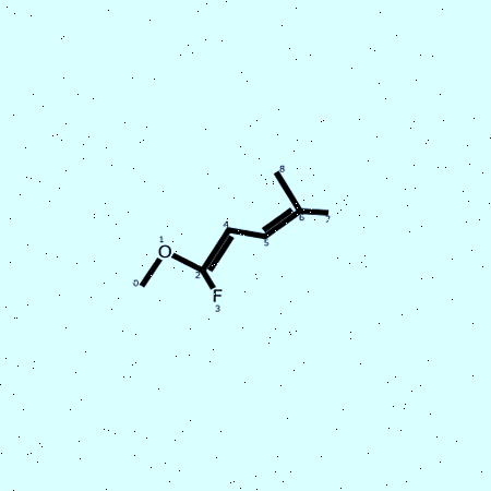 COC(F)=CC=C(C)C